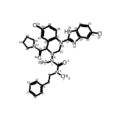 CCCN(C(=O)N(C)CCc1ccccc1)N1CN(c2nc3cc(Cl)ccc3[nH]2)c2ccc(Cl)cc2C1C(=O)N1CCCC1